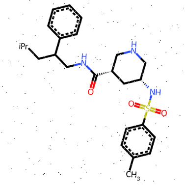 Cc1ccc(S(=O)(=O)N[C@H]2CNC[C@@H](C(=O)NCC(CC(C)C)c3ccccc3)C2)cc1